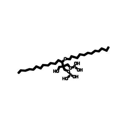 CCCCCCCCCCCCOC(CCCCCCCCCCCC)C(CO)(COP(O)O)COP(O)O